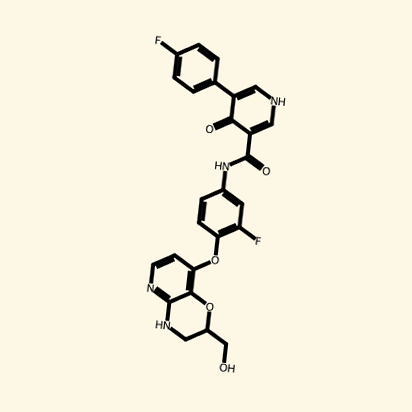 O=C(Nc1ccc(Oc2ccnc3c2OC(CO)CN3)c(F)c1)c1c[nH]cc(-c2ccc(F)cc2)c1=O